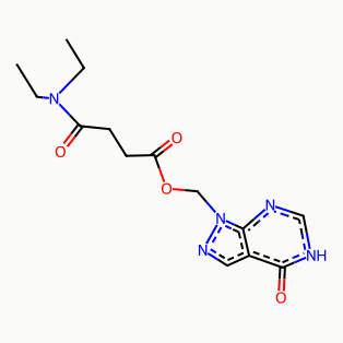 CCN(CC)C(=O)CCC(=O)OCn1ncc2c(=O)[nH]cnc21